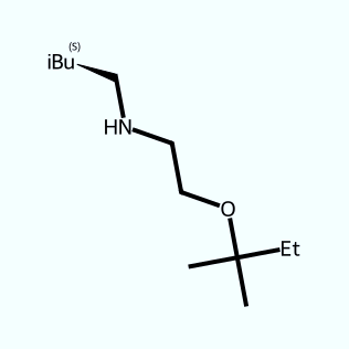 CC[C@H](C)CNCCOC(C)(C)CC